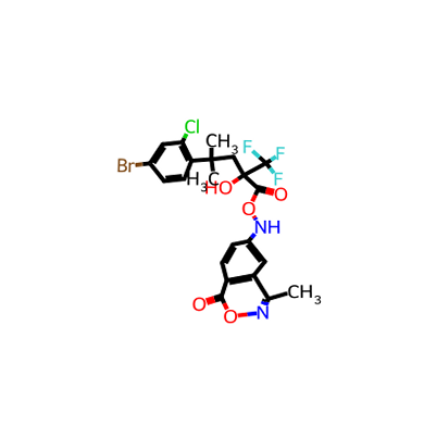 Cc1noc(=O)c2ccc(NOC(=O)C(O)(CC(C)(C)c3ccc(Br)cc3Cl)C(F)(F)F)cc12